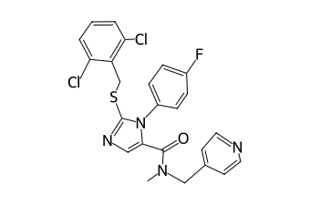 CN(Cc1ccncc1)C(=O)c1cnc(SCc2c(Cl)cccc2Cl)n1-c1ccc(F)cc1